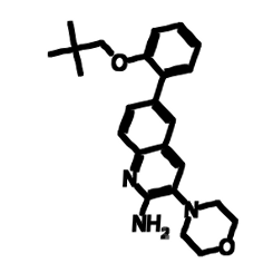 CC(C)(C)COc1ccccc1-c1ccc2nc(N)c(N3CCOCC3)cc2c1